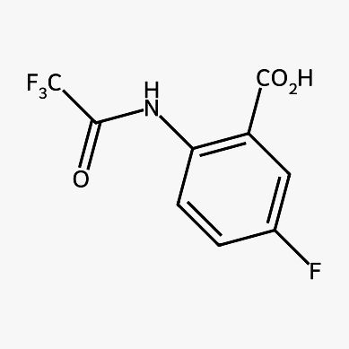 O=C(O)c1cc(F)ccc1NC(=O)C(F)(F)F